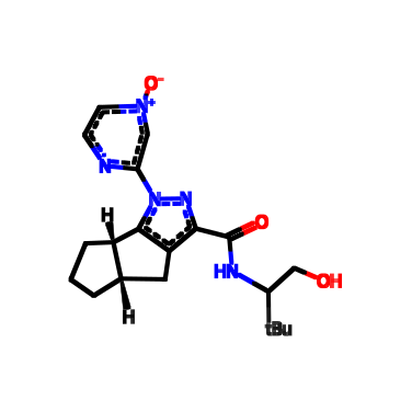 CC(C)(C)C(CO)NC(=O)c1nn(-c2c[n+]([O-])ccn2)c2c1C[C@@H]1CCC[C@H]21